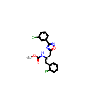 CC(C)(C)OC(=O)N[C@@H](Cc1nc(-c2cccc(Cl)c2)no1)Cc1ccccc1F